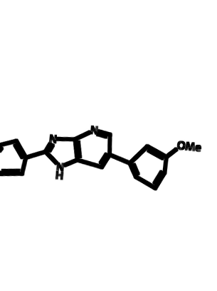 COc1cccc(-c2cnc3nc(-c4ccccc4)[nH]c3c2)c1